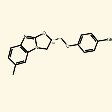 Cc1ccc2nc3n(c2c1)C[C@@H](COc1ccc(C(C)(C)C)cc1)O3